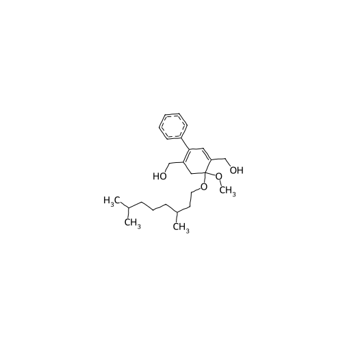 COC1(OCCC(C)CCCC(C)C)CC(CO)=C(c2ccccc2)C=C1CO